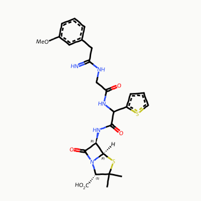 COc1cccc(CC(=N)NCC(=O)NC(C(=O)N[C@@H]2C(=O)N3[C@@H]2SC(C)(C)[C@@H]3C(=O)O)c2cccs2)c1